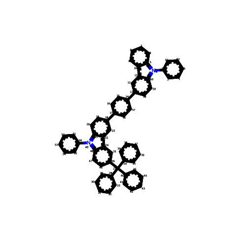 c1ccc(-n2c3ccccc3c3cc(-c4ccc(-c5ccc6c(c5)c5cc(C(c7ccccc7)(c7ccccc7)c7ccccc7)ccc5n6-c5ccccc5)cc4)ccc32)cc1